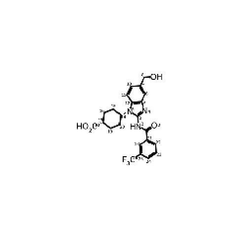 O=C(Nc1nc2cc(CO)ccc2n1[C@H]1CC[C@@H](C(=O)O)CC1)c1cccc(C(F)(F)F)c1